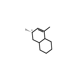 CC1=C[C@@H](I)CC2CCCCC12